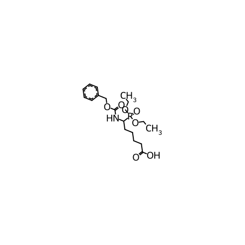 CCOP(=O)(OCC)C(CCCCC(=O)O)NC(=O)OCc1ccccc1